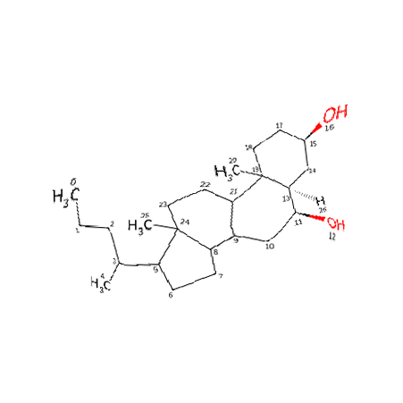 CCCC(C)C1CCC2C3C[C@H](O)[C@@H]4C[C@H](O)CCC4(C)C3CCC12C